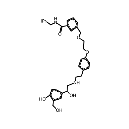 CC(C)CNC(=O)c1cccc(COCCOc2ccc(CCNC[C@@H](O)c3ccc(O)c(CO)c3)cc2)c1